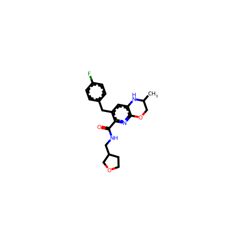 CC1COc2nc(C(=O)NCC3CCOC3)c(Cc3ccc(F)cc3)cc2N1